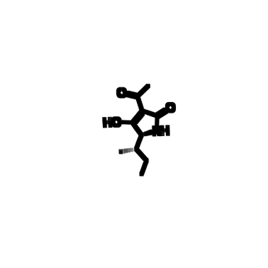 CC[C@H](C)[C@@H]1NC(=O)C(C(C)=O)=C1O